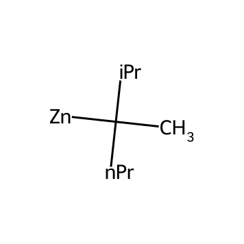 CCC[C](C)([Zn])C(C)C